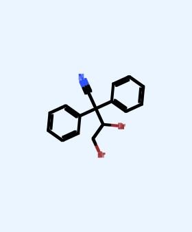 N#CC(c1ccccc1)(c1ccccc1)C(Br)CBr